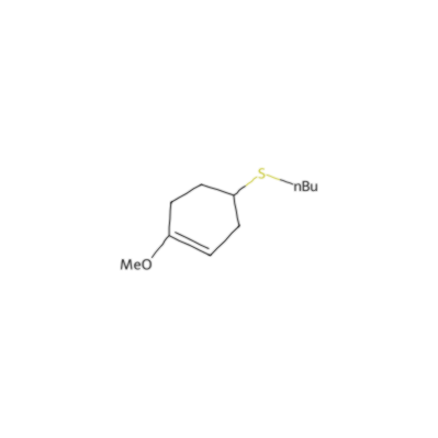 CCCCSC1CC=C(OC)CC1